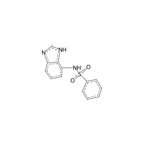 O=S(=O)(Nc1cccc2n[c][nH]c12)c1ccccc1